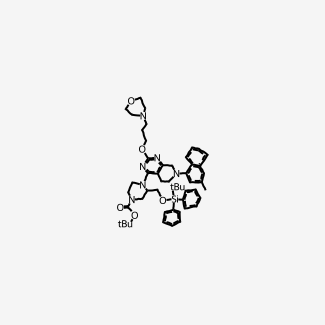 Cc1cc(N2CCc3c(nc(OCCCN4CCOCC4)nc3N3CCN(C(=O)OC(C)(C)C)CC3CO[Si](c3ccccc3)(c3ccccc3)C(C)(C)C)C2)c2ccccc2c1